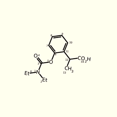 CCN(CC)C(=O)Oc1ccccc1C(C)C(=O)O